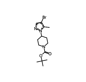 Cc1c(Br)cnn1C1CCN(C(=O)OC(C)(C)C)CC1